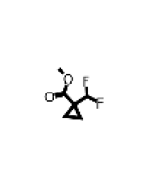 COC(=O)C1(C(F)F)CC1